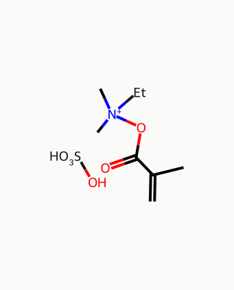 C=C(C)C(=O)O[N+](C)(C)CC.O=S(=O)(O)O